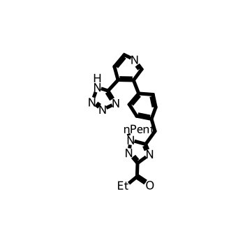 CCCCCn1nc(C(=O)CC)nc1Cc1ccc(-c2cnccc2-c2nnn[nH]2)cc1